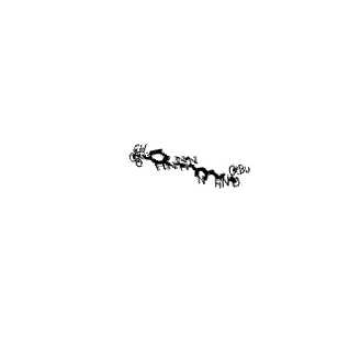 CC(C)(C)OC(=O)NCCCc1cncc(-c2ncnc(Nc3cccc(COS(C)(=O)=O)c3)n2)c1